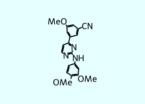 COc1cc(C#N)cc(-c2ccnc(Nc3ccc(OC)c(OC)c3)n2)c1